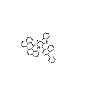 c1ccc(-c2ccc(-c3nc(N4c5c(ccc6ccccc56)-c5cccc6cccc4c56)nc4c3sc3ccccc34)c3ccccc23)cc1